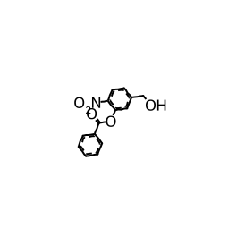 O=C(Oc1cc(CO)ccc1[N+](=O)[O-])c1ccccc1